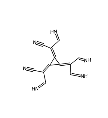 N#C/C(C=N)=C1/C(=C(C=N)C=N)/C1=C(/C#N)C=N